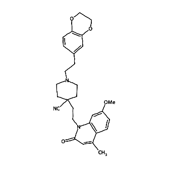 COc1ccc2c(C)cc(=O)n(CCC3(C#N)CCN(CCc4ccc5c(c4)OCCO5)CC3)c2c1